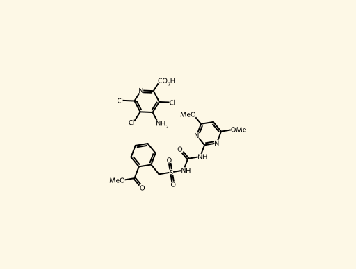 COC(=O)c1ccccc1CS(=O)(=O)NC(=O)Nc1nc(OC)cc(OC)n1.Nc1c(Cl)c(Cl)nc(C(=O)O)c1Cl